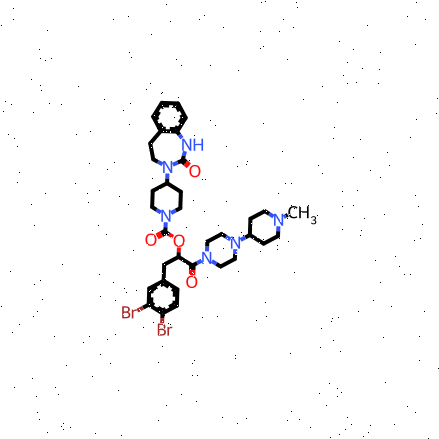 CN1CCC(N2CCN(C(=O)C(Cc3ccc(Br)c(Br)c3)OC(=O)N3CCC(N4CCc5ccccc5NC4=O)CC3)CC2)CC1